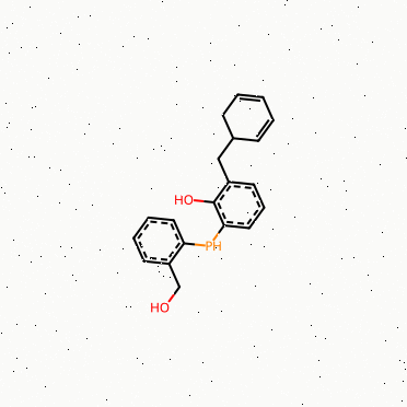 OCc1ccccc1Pc1cccc(CC2C=CC=CC2)c1O